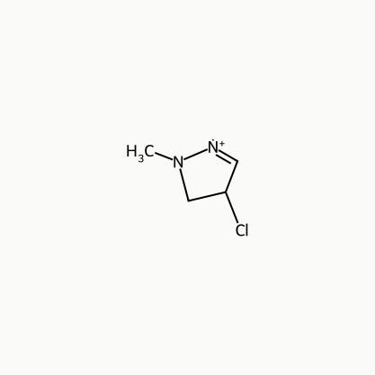 CN1CC(Cl)C=[N+]1